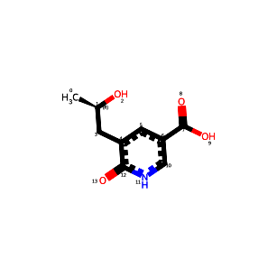 C[C@@H](O)Cc1cc(C(=O)O)c[nH]c1=O